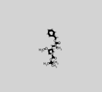 CO[C@H]1CN(C(=O)OC(C)(C)C)C[C@H]1CN(C)C(=O)OCc1ccccc1